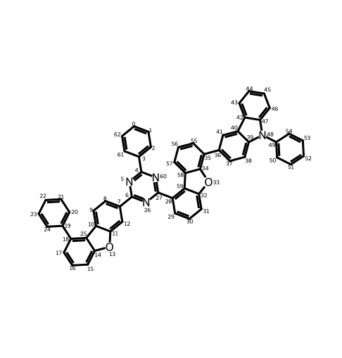 c1ccc(-c2nc(-c3ccc4c(c3)oc3cccc(-c5ccccc5)c34)nc(-c3cccc4oc5c(-c6ccc7c(c6)c6ccccc6n7-c6ccccc6)cccc5c34)n2)cc1